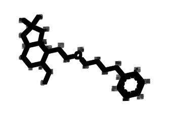 CCC1CCC2CC(C)(C)CC2C1CCOCCCCc1ccccc1